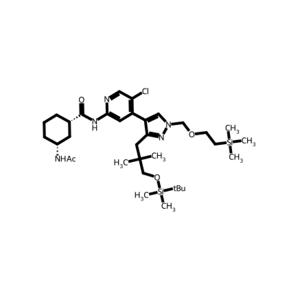 CC(=O)N[C@@H]1CCC[C@H](C(=O)Nc2cc(-c3cn(COCC[Si](C)(C)C)nc3CC(C)(C)CO[Si](C)(C)C(C)(C)C)c(Cl)cn2)C1